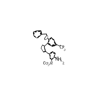 Nc1ccc(C2=C(c3cc(C(F)(F)F)ccc3OCc3ccccc3)CCC2)cc1C(=O)O